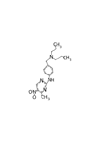 CCCN(CCC)Cc1ccc(Nc2ncc([N+](=O)[O-])c(C)n2)cc1